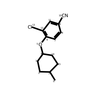 CC1CCC(Oc2ccc(C#N)cc2Cl)CC1